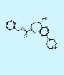 CCC[C@H]1CCN(C(=O)OCc2ccccc2)Cc2cc(N3CCNCC3)ccc21